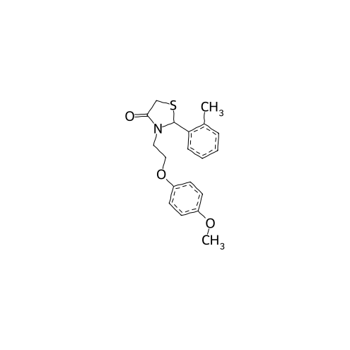 COc1ccc(OCCN2C(=O)CSC2c2ccccc2C)cc1